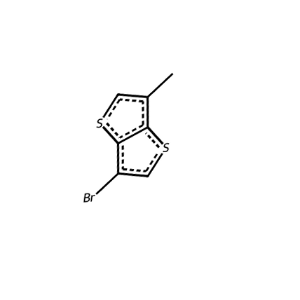 Cc1csc2c(Br)csc12